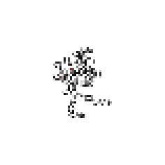 CCn1nc(C[N+]2(CC3=C(C(=O)OC(c4ccccc4)c4ccccc4)N4C(=O)[C@@H](NC(=O)/C(=N\OC(C)(C)C(=O)OC(C)(C)C)c5csc(NC(=O)OC(C)(C)C)n5)[C@H]4SC3)CCCC2)c(=O)c2cc(OCc3ccc(OC)cc3)c(OCc3ccc(OC)cc3)cc21